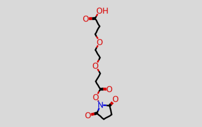 O=C(O)CCOCCOCCC(=O)ON1C(=O)CCC1=O